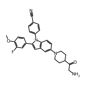 COc1ccc(-c2cc3cc(N4CCC(C(=O)CN)CC4)ccc3n2-c2ccc(C#N)cc2)cc1F